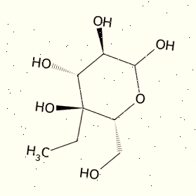 CC[C@]1(O)[C@H](O)[C@@H](O)C(O)O[C@@H]1CO